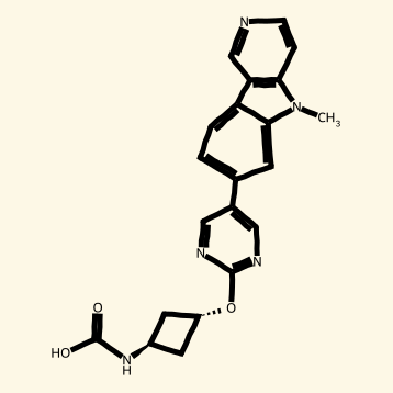 Cn1c2ccncc2c2ccc(-c3cnc(O[C@H]4C[C@H](NC(=O)O)C4)nc3)cc21